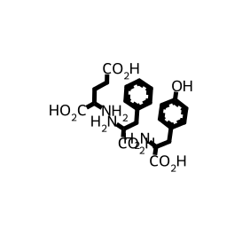 NC(CCC(=O)O)C(=O)O.NC(Cc1ccc(O)cc1)C(=O)O.NC(Cc1ccccc1)C(=O)O